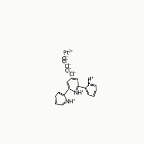 [Cl-].[Cl-].[Cl-].[Cl-].[Cl-].[Pt+2].c1ccc(-c2cccc(-c3cccc[nH+]3)[nH+]2)[nH+]c1